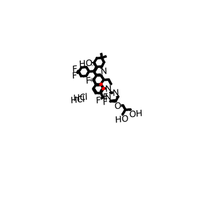 CC1(C)Cc2nc(C3CCN(c4ncc(OCC(CO)CO)cn4)CC3)c([C@@H](F)c3ccc(C(F)(F)F)cc3)c(C3CCC(F)(F)CC3)c2[C@@H](O)C1.Cl.Cl